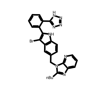 CCCCc1nc2cccnc2n1Cc1ccc2[nH]c(-c3ccccc3-c3nnn[nH]3)c(Br)c2c1